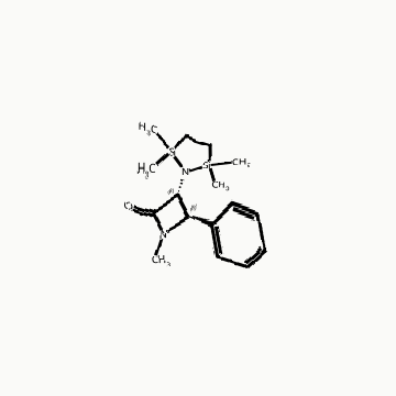 CN1C(=O)[C@H](N2[Si](C)(C)CC[Si]2(C)C)[C@H]1c1ccccc1